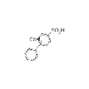 O=S(=O)(O)c1ccc(-c2ccccc2)cc1.[CaH2]